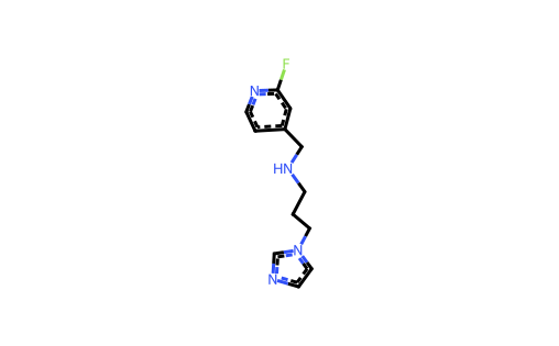 Fc1cc(CNCCCn2ccnc2)ccn1